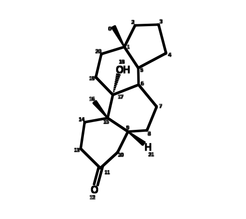 C[C@@]12CCCC1C1CC[C@@H]3CC(=O)CC[C@]3(C)[C@@]1(O)CC2